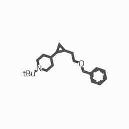 CC(C)(C)N1CCC(C2CC2CCOCc2ccccc2)CC1